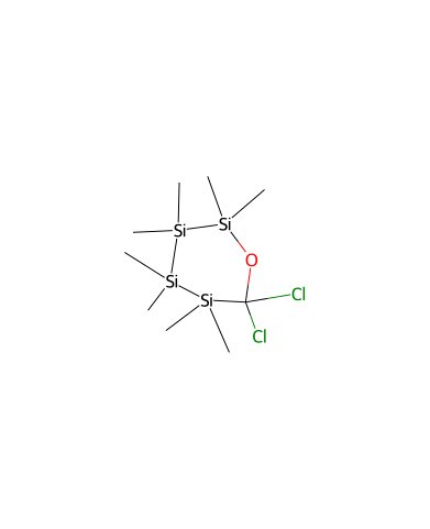 C[Si]1(C)OC(Cl)(Cl)[Si](C)(C)[Si](C)(C)[Si]1(C)C